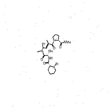 CNC(=O)C1CCCN1C(=O)/C(C)=C/[C@H](C(C)C)N(C)C(=O)[C@@H](NC(=O)[C@H]1CCCCN1C(C)C)C(C)(C)C